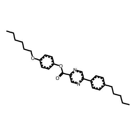 CCCCCCOc1ccc(OC(=O)c2cnc(-c3ccc(CCCCC)cc3)cn2)cc1